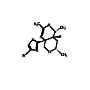 CC1=N[C@@]2(c3nc(Br)cs3)CO[C@@H](C)C[C@H]2[C@@H](C)O1